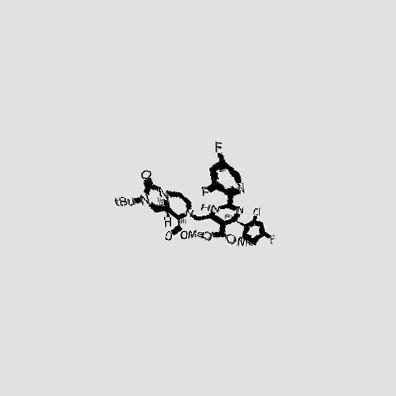 COC(=O)C1=C(CN2CCN3C(=O)N(C(C)(C)C)C[C@H]3[C@@H]2C(=O)OC)NC(c2ncc(F)cc2F)=N[C@H]1c1ccc(F)cc1Cl